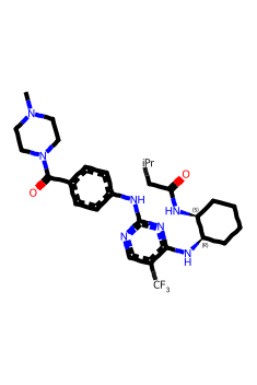 CC(C)CC(=O)N[C@H]1CCCC[C@H]1Nc1nc(Nc2ccc(C(=O)N3CCN(C)CC3)cc2)ncc1C(F)(F)F